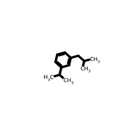 CC(C)Cc1[c]c(C(C)C)ccc1